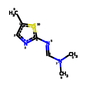 Cc1cnc(N=CN(C)C)s1